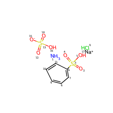 Cl.N.O=S(=O)(O)c1ccccc1.O=S(=O)([O-])O.[Na+]